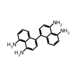 Nc1cccc2c(-c3ccc(N)c4c(N)cccc34)ccc(N)c12